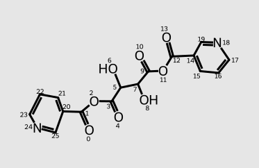 O=C(OC(=O)C(O)C(O)C(=O)OC(=O)c1cccnc1)c1cccnc1